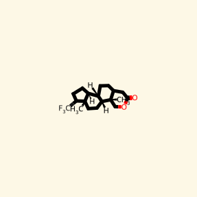 C[C@]12COC(=O)CC1CC[C@@H]1[C@H]2CC[C@]2(C)C(C(F)(F)F)CC[C@@H]12